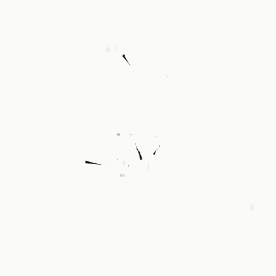 CC(C)[C@@H]1C[C@H]2[C@H]3Cc4ccc(O)cc4[C@@]2(CCN3CC2CC2)CC1=O